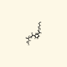 CCCCOC=C(C)c1cccc(C(C)=COC(C)COC)c1